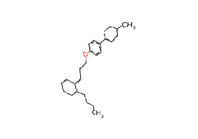 CCCCC1CCCCC1CCCOc1ccc(C2CCC(C)CC2)cc1